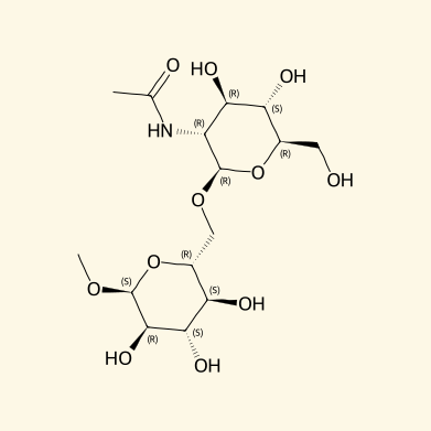 CO[C@H]1O[C@H](CO[C@@H]2O[C@H](CO)[C@@H](O)[C@H](O)[C@H]2NC(C)=O)[C@@H](O)[C@H](O)[C@H]1O